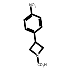 O=C(O)N1CC(c2ccc([N+](=O)[O-])cc2)C1